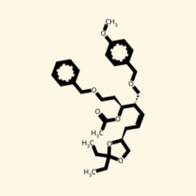 CCC1(CC)OC[C@H](C/C=C\[C@@H](COCc2ccc(OC)cc2)[C@H](CCOCc2ccccc2)OC(C)=O)O1